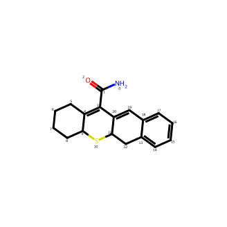 NC(=O)C1=C2CCCCC2SC2Cc3ccccc3C=C12